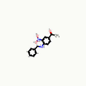 CC(=O)c1ccc(NCc2ccccc2)c([N+](=O)[O-])c1